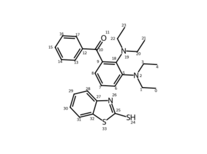 CCN(CC)c1cccc(C(=O)c2ccccc2)c1N(CC)CC.Sc1nc2ccccc2s1